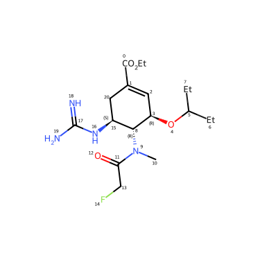 CCOC(=O)C1=C[C@@H](OC(CC)CC)[C@H](N(C)C(=O)CF)[C@@H](NC(=N)N)C1